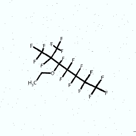 CCOC(F)(C(F)(F)C(F)(F)C(F)(F)C(F)(F)F)C(F)(C(F)(F)F)C(F)(F)F